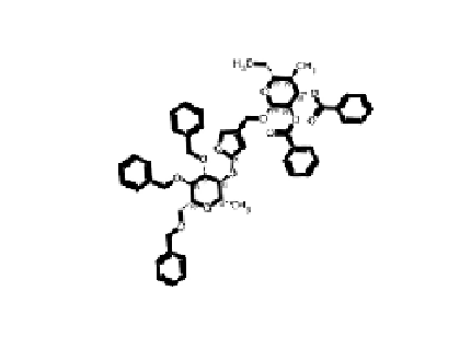 CC[C@H]1O[C@@H](OCC2=C[C@@H](O[C@@H]3[C@@H](OCc4ccccc4)[C@H](OCc4ccccc4)[C@@H](COCc4ccccc4)O[C@H]3C)OC2)[C@H](OC(=O)c2ccccc2)[C@@H](OC(=O)c2ccccc2)[C@@H]1C